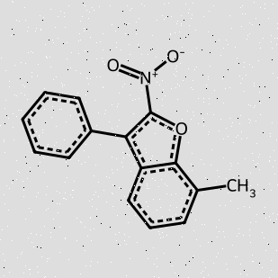 Cc1cccc2c(-c3ccccc3)c([N+](=O)[O-])oc12